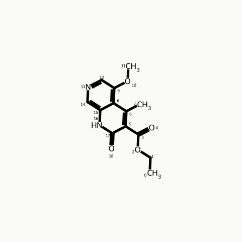 CCOC(=O)c1c(C)c2c(OC)cncc2[nH]c1=O